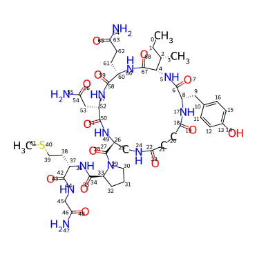 CC[C@H](C)[C@@H]1NC(=O)[C@H](Cc2ccc(O)cc2)NC(=O)CCC(=O)NC[C@@H](C(=O)N2CCC[C@H]2C(=O)N[C@@H](CCSC)C(=O)NCC(N)=O)NC(=O)[C@H](CC(N)=O)NC(=O)[C@H](CCC(N)=O)NC1=O